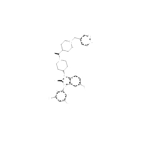 O=C(C1CCN(Cc2ccnnc2)CC1)N1CCC(n2c(=O)n(-c3cc(F)cc(F)c3)c3cc(F)ccc32)CC1